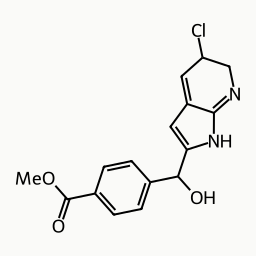 COC(=O)c1ccc(C(O)c2cc3c([nH]2)=NCC(Cl)C=3)cc1